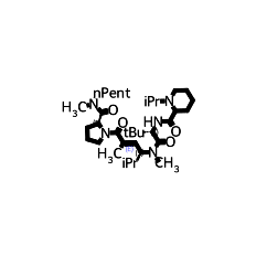 CCCCCN(C)C(=O)[C@@H]1CCCN1C(=O)/C(C)=C/[C@H](C(C)C)N(C)C(=O)[C@@H](NC(=O)C1CCCCN1C(C)C)C(C)(C)C